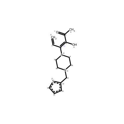 C=C/C(=C(/O)C(C)=O)N1CCN(Cc2cccs2)CC1